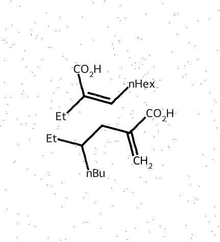 C=C(CC(CC)CCCC)C(=O)O.CCCCCC/C=C(/CC)C(=O)O